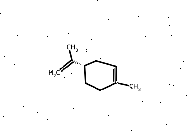 C=C(C)[C@@H]1CC=C(C)CC1